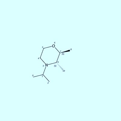 CC(C)N1CCO[C@@H](C)[C@@H]1C